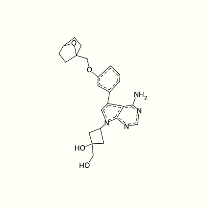 Nc1ncnc2c1c(-c1cccc(OCC34CCC(CC3)O4)c1)cn2C1CC(O)(CO)C1